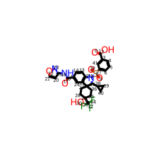 O=C(O)c1cccc(S(=O)(=O)N2c3ccc(C(=O)Nc4ccon4)cc3C3(CCC(O)(C(F)(F)F)CC3)C2C2CC2)c1